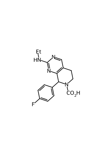 CCNc1ncc2c(n1)C(c1ccc(F)cc1)N(C(=O)O)CC2